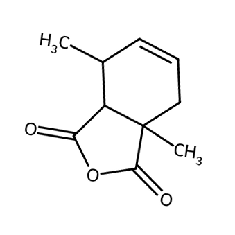 CC1C=CCC2(C)C(=O)OC(=O)C12